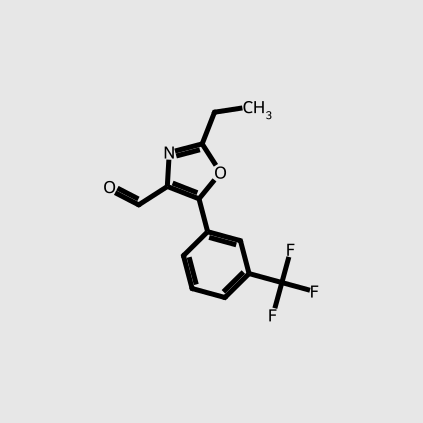 CCc1nc(C=O)c(-c2cccc(C(F)(F)F)c2)o1